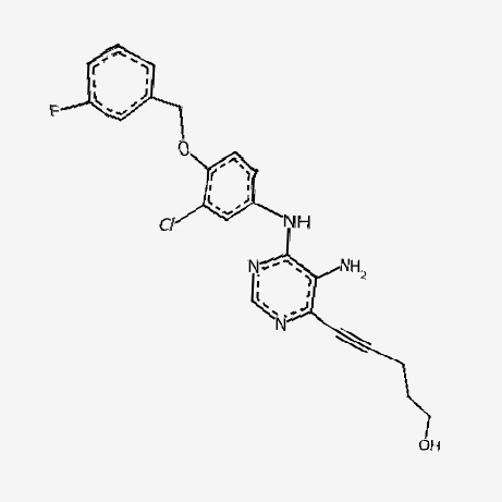 Nc1c(C#CCCCO)ncnc1Nc1ccc(OCc2cccc(F)c2)c(Cl)c1